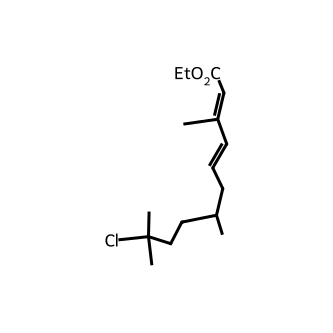 CCOC(=O)/C=C(C)/C=C/CC(C)CCC(C)(C)Cl